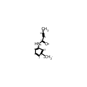 [CH2]c1cccc(NC(=O)C#CC)c1